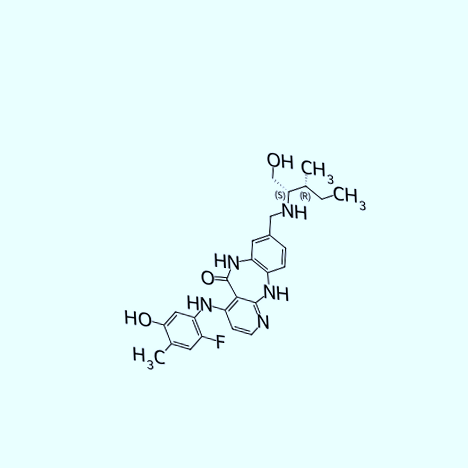 CC[C@@H](C)[C@@H](CO)NCc1ccc2c(c1)NC(=O)c1c(Nc3cc(O)c(C)cc3F)ccnc1N2